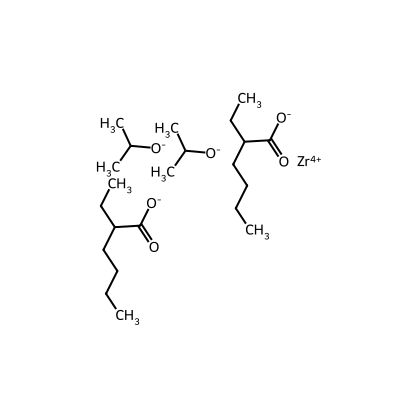 CC(C)[O-].CC(C)[O-].CCCCC(CC)C(=O)[O-].CCCCC(CC)C(=O)[O-].[Zr+4]